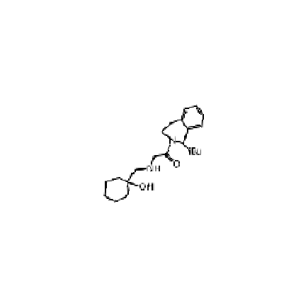 CCC(C)C1c2ccccc2CCN1C(=O)CNCC1(O)CCCCC1